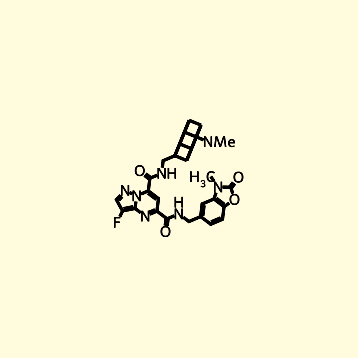 CNC12C3C4C1C1C2C3C41CNC(=O)c1cc(C(=O)NCc2ccc3oc(=O)n(C)c3c2)nc2c(F)cnn12